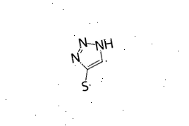 [S]c1[c][nH]nn1